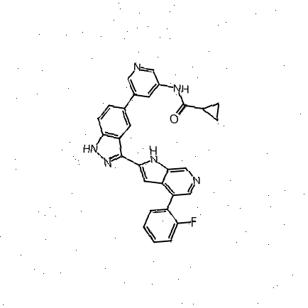 O=C(Nc1cncc(-c2ccc3[nH]nc(-c4cc5c(-c6ccccc6F)cncc5[nH]4)c3c2)c1)C1CC1